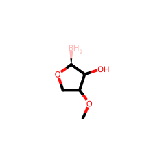 B[C@@H]1OCC(OC)C1O